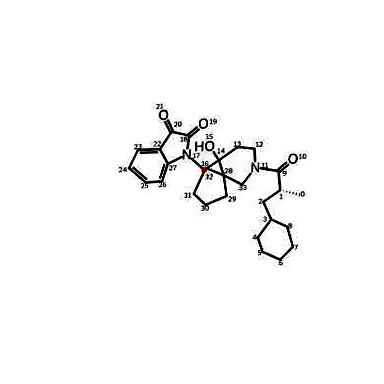 C[C@H](CC1CCCCC1)C(=O)N1CCC(O)(CN2C(=O)C(=O)c3ccccc32)C2(CCCC2)C1